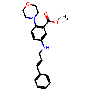 COC(=O)c1cc(NCC=Cc2ccccc2)ccc1N1CCOCC1